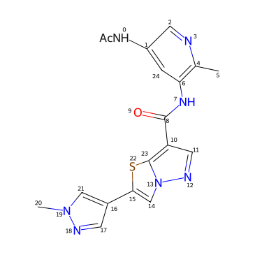 CC(=O)Nc1cnc(C)c(NC(=O)c2cnn3cc(-c4cnn(C)c4)sc23)c1